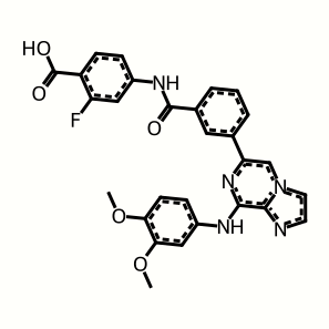 COc1ccc(Nc2nc(-c3cccc(C(=O)Nc4ccc(C(=O)O)c(F)c4)c3)cn3ccnc23)cc1OC